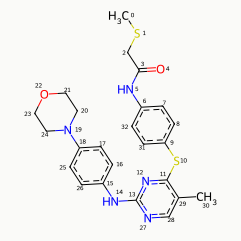 CSCC(=O)Nc1ccc(Sc2nc(Nc3ccc(N4CCOCC4)cc3)ncc2C)cc1